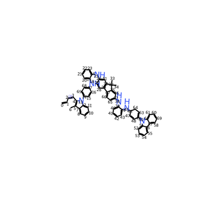 C=C/C=C\c1c(C)c2ccccc2n1-c1ccc(Nc2ccccc2Nc2ccc3c(c2)C(C)(C)c2cc(Nc4ccccc4NC4C=CC(n5c6ccccc6c6ccccc65)=CC4)ccc2-3)cc1